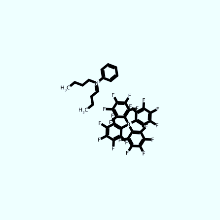 CCCC=[N+](CCCC)c1ccccc1.Fc1c(F)c(F)c([B-](c2c(F)c(F)c(F)c(F)c2F)(c2c(F)c(F)c(F)c(F)c2F)c2c(F)c(F)c(F)c(F)c2F)c(F)c1F